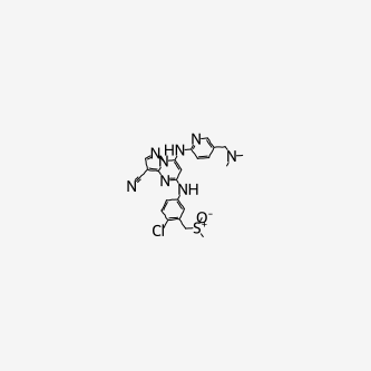 CN(C)Cc1ccc(Nc2cc(Nc3ccc(Cl)c(C[S+](C)[O-])c3)nc3c(C#N)cnn23)nc1